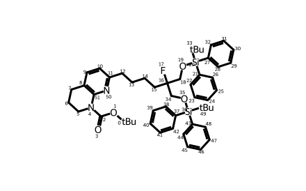 CC(C)(C)OC(=O)N1CCCc2ccc(CCCCC(F)(CO[Si](c3ccccc3)(c3ccccc3)C(C)(C)C)CO[Si](c3ccccc3)(c3ccccc3)C(C)(C)C)nc21